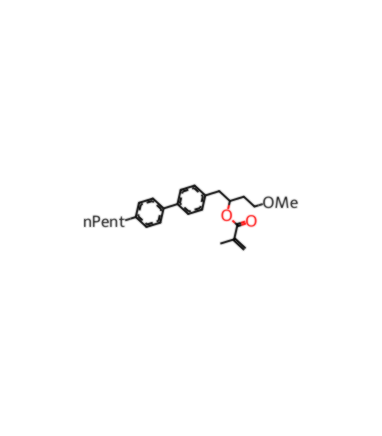 C=C(C)C(=O)OC(CCOC)Cc1ccc(-c2ccc(CCCCC)cc2)cc1